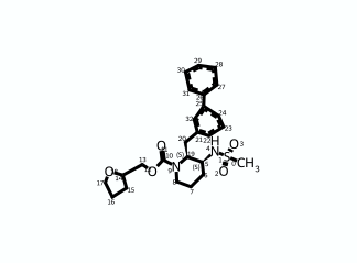 CS(=O)(=O)N[C@H]1CCCN(C(=O)OCC2CCCO2)[C@H]1Cc1cccc(-c2ccccc2)c1